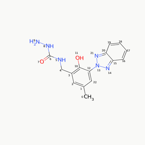 Cc1cc(CNC(=O)NN)c(O)c(-n2nc3ccccc3n2)c1